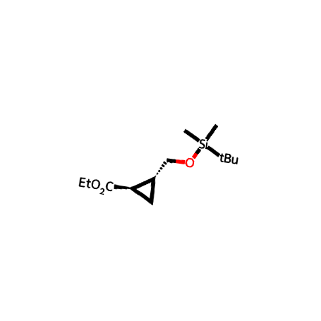 CCOC(=O)[C@@H]1C[C@H]1CO[Si](C)(C)C(C)(C)C